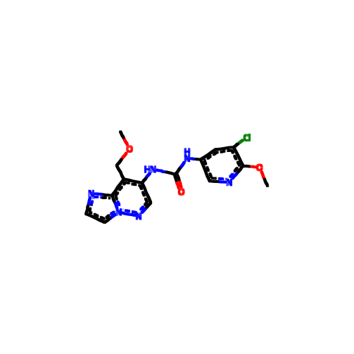 COCc1c(NC(=O)Nc2cnc(OC)c(Cl)c2)cnn2ccnc12